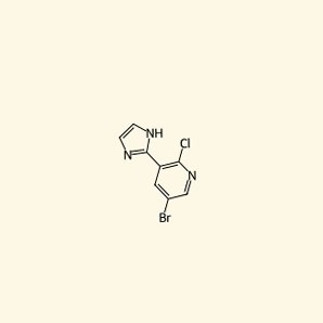 Clc1ncc(Br)cc1-c1ncc[nH]1